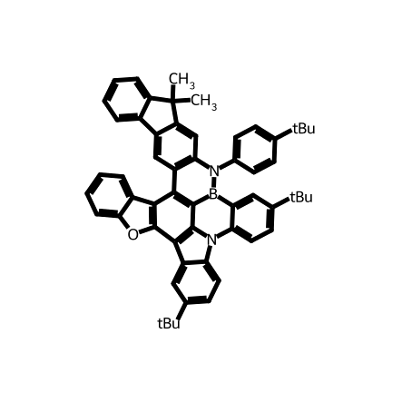 CC(C)(C)c1ccc(N2B3c4cc(C(C)(C)C)ccc4-n4c5ccc(C(C)(C)C)cc5c5c6oc7ccccc7c6c(c3c54)-c3cc4c(cc32)C(C)(C)c2ccccc2-4)cc1